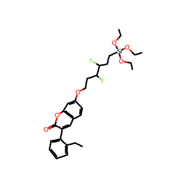 CCO[Si](CCC(F)C(F)CCOc1ccc2cc(-c3ccccc3CC)c(=O)oc2c1)(OCC)OCC